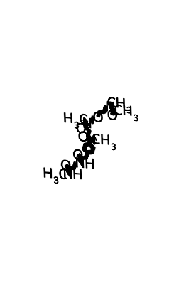 CNC(=O)CCNC(=O)Cc1ccc(N(C)C(=O)CC(=O)N(C)CCOCCCN(C)C(C)=O)cc1